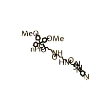 CCCOC(CCCCNC(=O)CCCCCNC(=O)Cc1cnc(N=Nc2ccc(N(C)C)cc2)s1)COC(c1ccccc1)(c1ccc(OC)cc1)c1ccc(OC)cc1